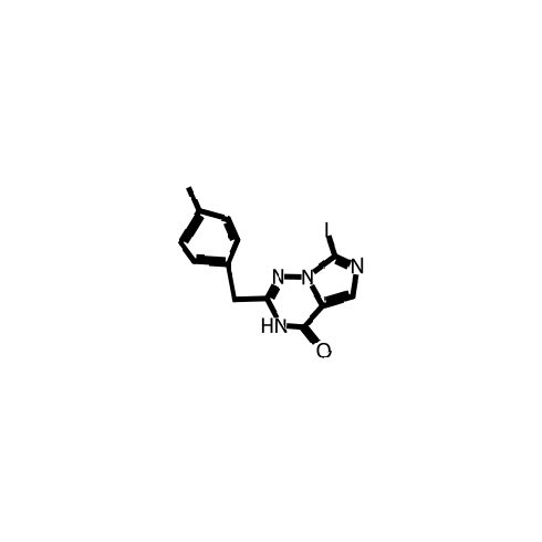 Cc1ccc(Cc2nn3c(I)ncc3c(=O)[nH]2)cc1